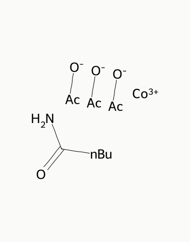 CC(=O)[O-].CC(=O)[O-].CC(=O)[O-].CCCCC(N)=O.[Co+3]